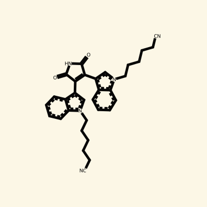 N#CCCCCCn1cc(C2=C(c3cn(CCCCCC#N)c4ccccc34)C(=O)NC2=O)c2ccccc21